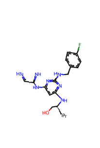 CC(C)[C@@H](CO)Nc1cc(NC(=N)C=N)nc(NCc2ccc(F)cc2)n1